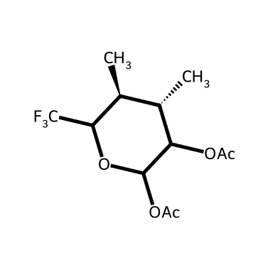 CC(=O)OC1OC(C(F)(F)F)[C@@H](C)[C@H](C)C1OC(C)=O